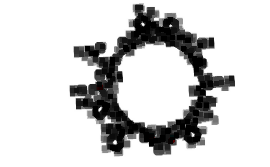 CCCC[C@H]1C(=O)N2C[C@H](O)C[C@@H]2C(=O)N[C@@H](CC(=O)O)C(=O)N[C@@H](C(C)C)C(=O)N(C)[C@@H](Cc2ccccc2)C(=O)N[C@@H](CC(=O)O)C(=O)N2C[C@H](O)C[C@H]2C(=O)N[C@@H](Cc2c[nH]c3ccccc23)C(=O)N[C@@H](Cc2ccc(O)cc2)C(=O)N[C@@H](CCC(=O)O)C(=O)N[C@H](C(=O)NCC(N)=O)CSCC(=O)N[C@@H](Cc2cc(F)c(F)c(F)c2)C(=O)N(C)[C@@H](Cc2ccccc2)C(=O)N1C